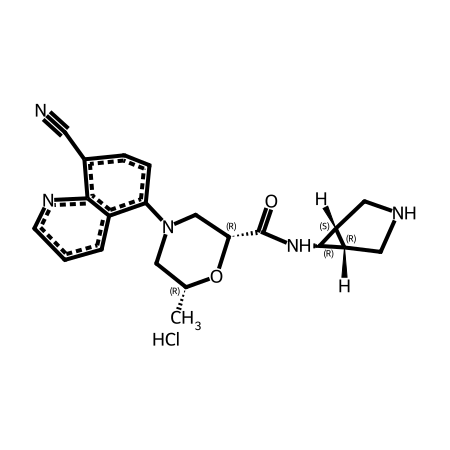 C[C@@H]1CN(c2ccc(C#N)c3ncccc23)C[C@H](C(=O)N[C@@H]2[C@@H]3CNC[C@@H]32)O1.Cl